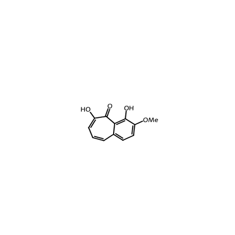 COc1ccc2cccc(O)c(=O)c2c1O